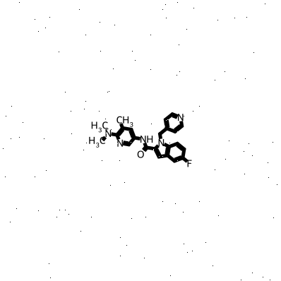 Cc1cc(NC(=O)c2cc3cc(F)ccc3n2Cc2ccncc2)cnc1N(C)C